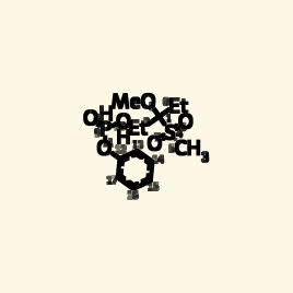 CCC(CC)(OC)S(C)(=O)=O.O=[PH](O)Oc1ccccc1